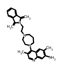 C=c1c2ccccc2c(=C)n1CCN1CCCN(c2c(C)cnc3cc(N)c(C)cc23)CC1